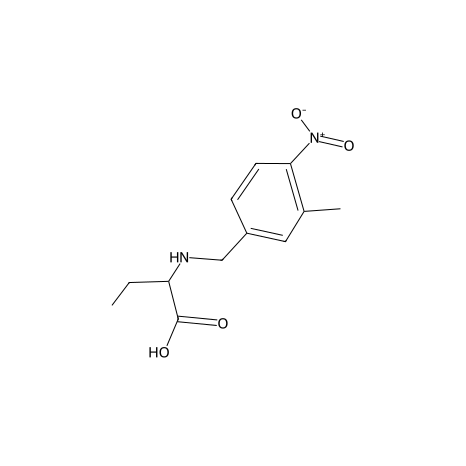 CCC(NCc1ccc([N+](=O)[O-])c(C)c1)C(=O)O